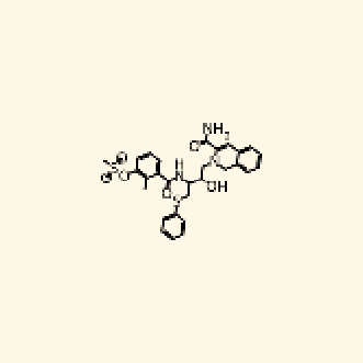 Cc1c(OS(C)(=O)=O)cccc1C(=O)NC(CSc1ccccc1)C(O)CN1Cc2ccccc2C=C1C(N)=O